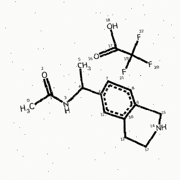 CC(=O)NC(C)c1ccc2c(c1)CCNC2.O=C(O)C(F)(F)F